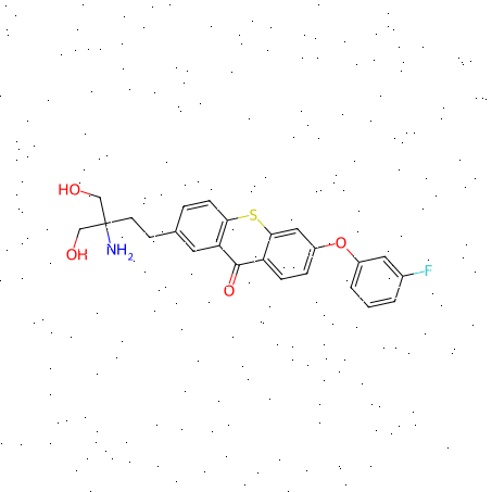 NC(CO)(CO)CCc1ccc2sc3cc(Oc4cccc(F)c4)ccc3c(=O)c2c1